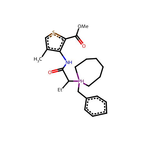 CCC(C(=O)Nc1c(C)csc1C(=O)OC)[PH]1(Cc2ccccc2)CCCCCC1